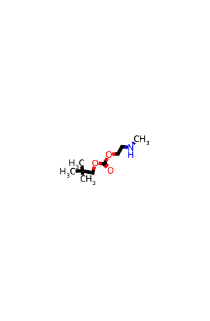 CNCCOC(=O)OCC(C)(C)C